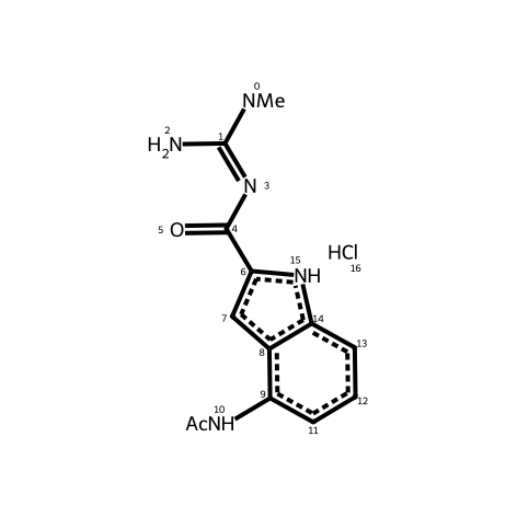 CNC(N)=NC(=O)c1cc2c(NC(C)=O)cccc2[nH]1.Cl